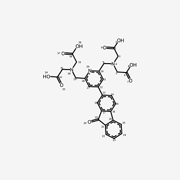 O=C(O)CN(CC(=O)O)Cc1cc(-c2ccc3c(c2)C(=O)c2ccccc2-3)cc(CN(CC(=O)O)CC(=O)O)n1